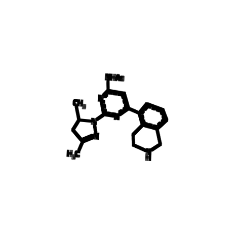 CC(=O)Nc1cc(-c2cccc3c2CCNC3)nc(N2N=C(C)CC2C)n1